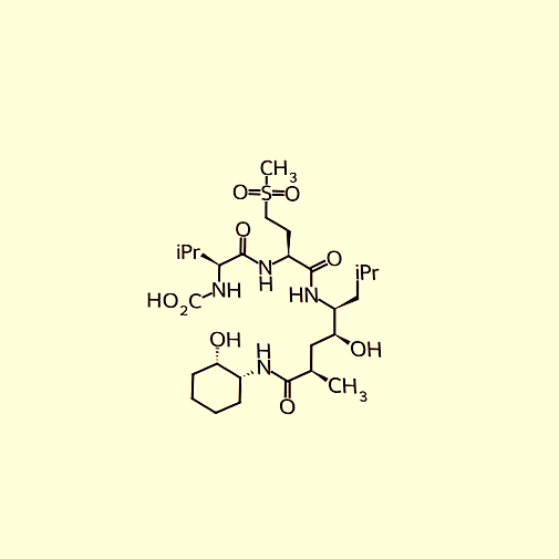 CC(C)C[C@H](NC(=O)[C@H](CCS(C)(=O)=O)NC(=O)[C@@H](NC(=O)O)C(C)C)[C@@H](O)C[C@@H](C)C(=O)N[C@@H]1CCCC[C@@H]1O